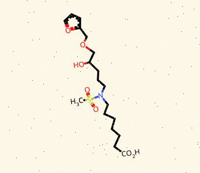 CS(=O)(=O)N(CCCCCCC(=O)O)CCCC(O)COCc1ccco1